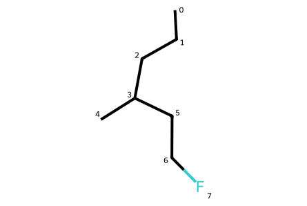 CCCC(C)CCF